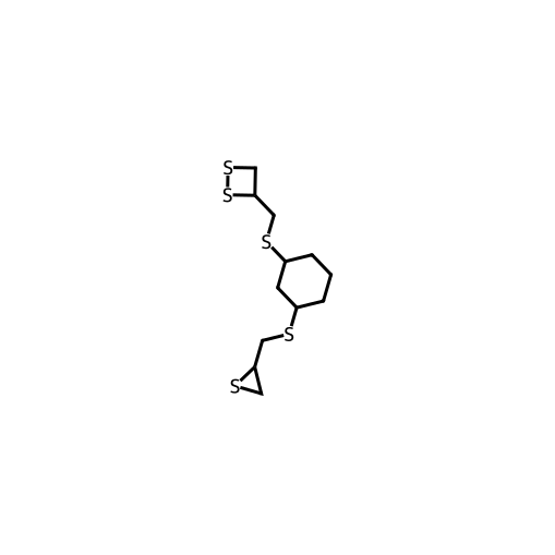 C1CC(SCC2CS2)CC(SCC2CSS2)C1